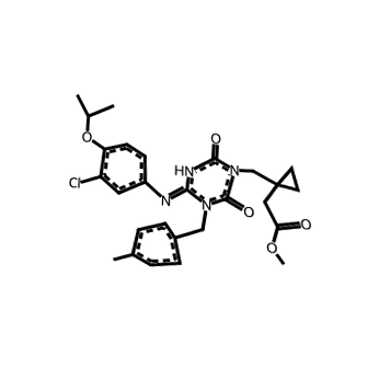 COC(=O)CC1(Cn2c(=O)[nH]/c(=N\c3ccc(OC(C)C)c(Cl)c3)n(Cc3ccc(C)cc3)c2=O)CC1